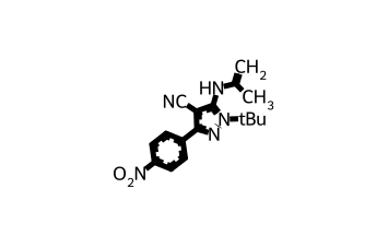 C=C(C)Nc1c(C#N)c(-c2ccc([N+](=O)[O-])cc2)nn1C(C)(C)C